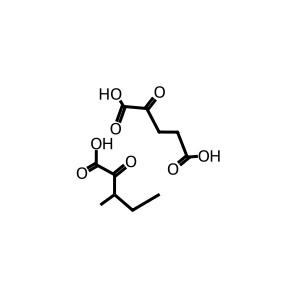 CCC(C)C(=O)C(=O)O.O=C(O)CCC(=O)C(=O)O